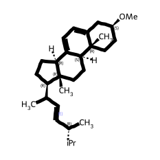 CO[C@H]1CC[C@@]2(C)C(=CC=C3[C@@H]4CC[C@H](C(C)/C=C/[C@H](C)C(C)C)[C@@]4(C)CC[C@@H]32)C1